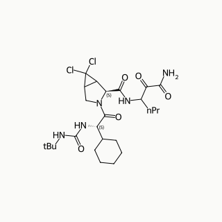 CCCC(NC(=O)[C@@H]1C2C(CN1C(=O)[C@@H](NC(=O)NC(C)(C)C)C1CCCCC1)C2(Cl)Cl)C(=O)C(N)=O